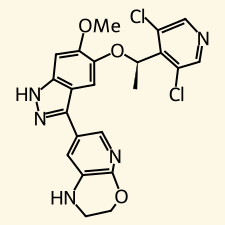 COc1cc2[nH]nc(-c3cnc4c(c3)NCCO4)c2cc1O[C@H](C)c1c(Cl)cncc1Cl